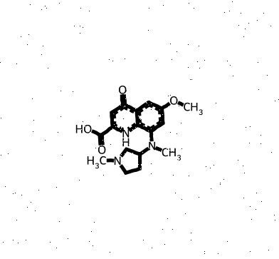 COc1cc(N(C)C2CCN(C)C2)c2[nH]c(C(=O)O)cc(=O)c2c1